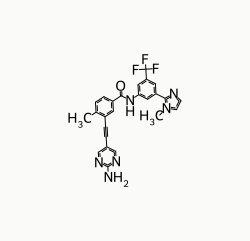 Cc1ccc(C(=O)Nc2cc(-c3nccn3C)cc(C(F)(F)F)c2)cc1C#Cc1cnc(N)nc1